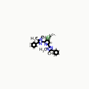 Cc1c(-c2ccccc2)nc(-c2cccc(-c3nc(-c4ccccc4)c(C)n3C)n2)n1C.[Cl-].[Cl-].[V+2]